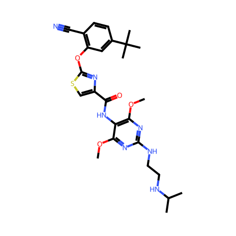 COc1nc(NCCNC(C)C)nc(OC)c1NC(=O)c1csc(Oc2cc(C(C)(C)C)ccc2C#N)n1